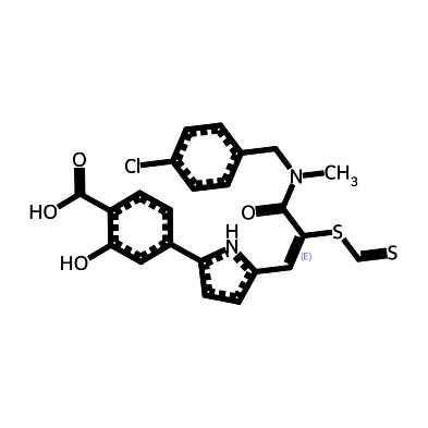 CN(Cc1ccc(Cl)cc1)C(=O)/C(=C\c1ccc(-c2ccc(C(=O)O)c(O)c2)[nH]1)SC=S